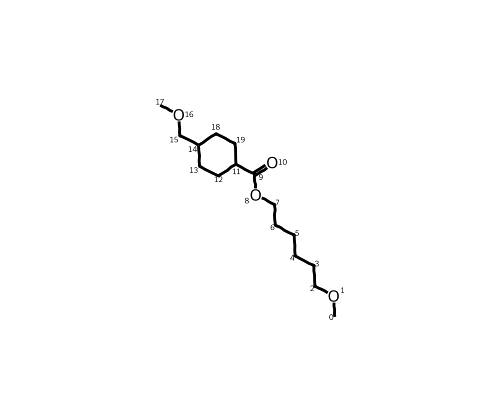 COCCCCCCOC(=O)C1CCC(COC)CC1